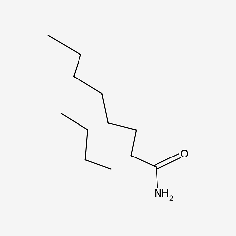 CCCC.CCCCCCCC(N)=O